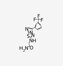 NC(=O)CNc1nn2c(-c3cccc(C(F)(F)F)c3)cnc2s1